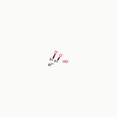 CC(=O)[O-].CC(=O)[O-].[Al+3].[OH-]